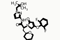 CC(C)(O)Cn1ccc(NC(=O)[C@H](C[C@@H]2CCCCO2)N2CC(Oc3c(F)cccc3F)=CC2=O)n1